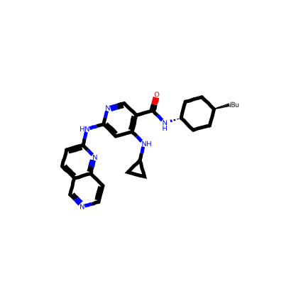 CCC(C)[C@H]1CC[C@H](NC(=O)c2cnc(Nc3ccc4cnccc4n3)cc2NC2CC2)CC1